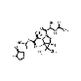 C=C(C(=O)N[C@H](C#N)C[C@@H]1CCNC1=O)[C@@H]1[C@@H]2[C@H](CN1C(=O)[C@@H](NC(=O)C(F)(F)F)C(C)(C)C)C2(C)C